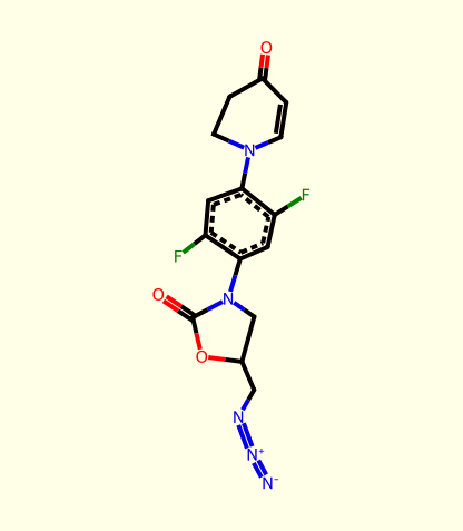 [N-]=[N+]=NCC1CN(c2cc(F)c(N3C=CC(=O)CC3)cc2F)C(=O)O1